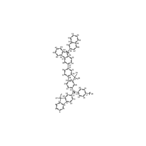 CC1(C)c2ccccc2-c2ccc(N(c3ccc(F)cc3)c3ccc4c(c3)C(C)(C)c3cc(-c5ccc6c(c5)c5ccccc5n6-c5ccc6ccccc6c5)ccc3-4)cc21